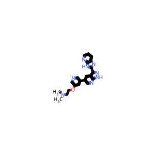 CN(C)CCOc1cncc(-c2cnc3[nH]nc(-c4nc5cccnc5[nH]4)c3c2)c1